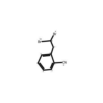 N#Cc1cc[c]cc1CC(Br)Br